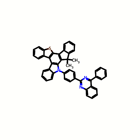 CC1(C)c2ccccc2-c2c1c1c(c3ccccc3n1-c1ccc(-c3nc(-c4ccccc4)c4ccccc4n3)cc1)c1c2sc2ccccc21